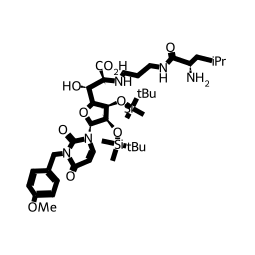 COc1ccc(Cn2c(=O)ccn([C@@H]3OC([C@H](O)[C@H](NCCCNC(=O)[C@@H](N)CC(C)C)C(=O)O)[C@@H](O[Si](C)(C)C(C)(C)C)[C@H]3O[Si](C)(C)C(C)(C)C)c2=O)cc1